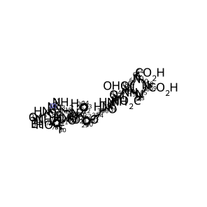 CCC(=O)NCCNC(=O)/N=C(/N)NCCC[C@@H](NC(=O)[C@@H](c1ccccc1)c1cccc(OCCCCNC(=O)NNC(=O)CCNC(C=O)N2CCN(CC(=O)O)CCN(CC(=O)O)CCN(CC(=O)O)CC2)c1)C(=O)NCc1c(F)cc(O)cc1F